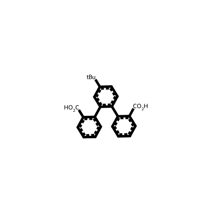 CC(C)(C)c1ccc(-c2ccccc2C(=O)O)c(-c2ccccc2C(=O)O)c1